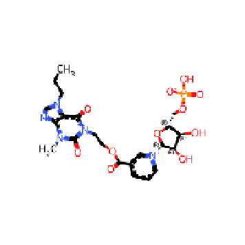 CCCn1cnc2c1c(=O)n(CCOC(=O)c1ccc[n+]([C@@H]3O[C@H](COP(=O)([O-])O)[C@@H](O)[C@H]3O)c1)c(=O)n2C